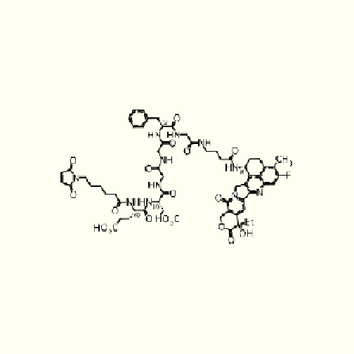 CC[C@@]1(O)C(=O)OCc2c1cc1n(c2=O)Cc2c-1nc1cc(F)c(C)c3c1c2[C@@H](NC(=O)CCCNC(=O)CNC(=O)[C@H](Cc1ccccc1)NC(=O)CNC(=O)CNC(=O)[C@H](CC(=O)O)NC(=O)[C@H](CCC(=O)O)NC(=O)CCCCCN1C(=O)C=CC1=O)CC3